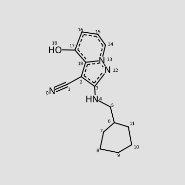 N#Cc1c(NCC2CCCCC2)nn2cccc(O)c12